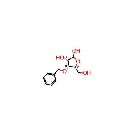 OC[C@@H]1OC(O)[C@@H](O)[C@H]1OCc1ccccc1